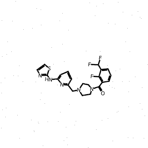 O=C(c1cccc(C(F)F)c1F)N1CCN(Cc2cccc(Nc3nccs3)n2)CC1